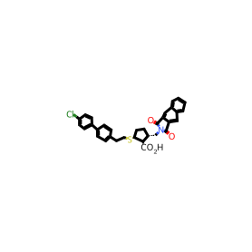 O=C(O)[C@@H]1[C@@H](CN2C(=O)c3cc4ccccc4cc3C2=O)CC[C@H]1SCCc1ccc(-c2ccc(Cl)cc2)cc1